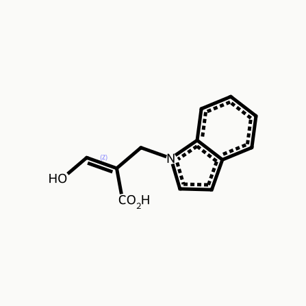 O=C(O)/C(=C\O)Cn1ccc2ccccc21